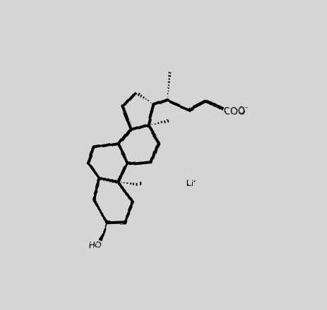 C[C@H](CCC(=O)[O-])[C@H]1CCC2C3CCC4C[C@H](O)CC[C@]4(C)C3CC[C@@]21C.[Li+]